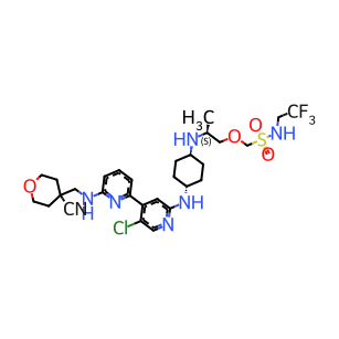 C[C@@H](COCS(=O)(=O)NCC(F)(F)F)N[C@H]1CC[C@H](Nc2cc(-c3cccc(NCC4(C#N)CCOCC4)n3)c(Cl)cn2)CC1